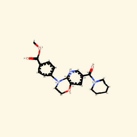 COC(=O)c1ccc(N2CCOc3cc(C(=O)N4CCCCC4)cnc32)cc1